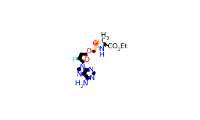 CCOC(=O)[C@H](C)N[PH](=O)CO[C@@H]1C=C(F)[C@H](n2cnc3c(N)ncnc32)O1